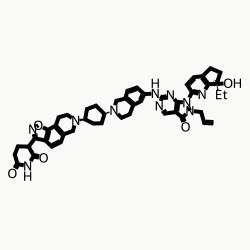 C=CCn1c(=O)c2cnc(Nc3ccc4c(c3)CCN([C@H]3CC[C@H](N5CCc6c(ccc7c(C8CCC(=O)NC8=O)noc67)C5)CC3)C4)nc2n1-c1ccc2c(n1)[C@@](O)(CC)CC2